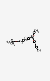 C#Cc1ccc(C#Cc2ccc(C#CC3(OC(=O)c4ccc(OC(=O)C5CCC(C(=O)OCCCCCCOC(=O)C(=C)C)CC5)cc4)CCC(C4CCC(C)CC4)CC3)cc2)cc1